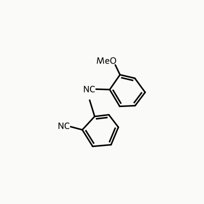 COc1ccccc1C#N.Cc1ccccc1C#N